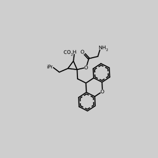 CC(C)CC1C(C(=O)O)C1(CC1c2ccccc2Oc2ccccc21)OC(=O)CN